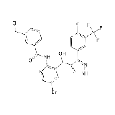 O=C(Nc1ncc(Br)cc1C(O)c1c[nH]nc1-c1ccc(Cl)c(C(F)(F)F)c1)c1cccc(CCl)c1